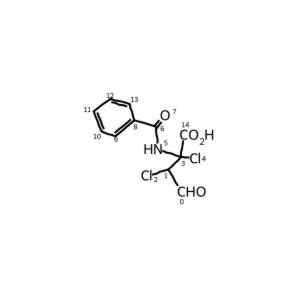 O=CC(Cl)C(Cl)(NC(=O)c1ccccc1)C(=O)O